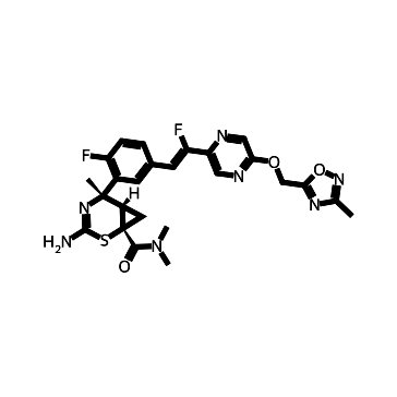 Cc1noc(COc2cnc(/C(F)=C/c3ccc(F)c([C@@]4(C)N=C(N)S[C@@]5(C(=O)N(C)C)C[C@H]54)c3)cn2)n1